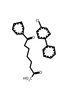 Clc1ccc(-c2ccccc2)cc1.O=C(O)C(=O)CCCCCC(=O)c1ccccc1